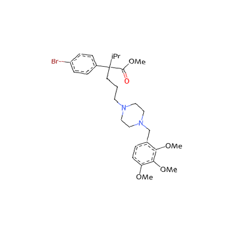 COC(=O)C(CCCN1CCN(Cc2ccc(OC)c(OC)c2OC)CC1)(c1ccc(Br)cc1)C(C)C